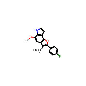 CCOC(=O)c1c(-c2ccc(F)cc2)oc2c1cc(OC(C)C)c1[nH]ccc12